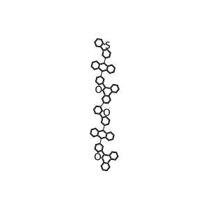 c1ccc2c(c1)sc1ccc(-c3c4ccccc4c(-c4ccc5oc6c7cc(-c8cccc9c8oc8ccc(-c%10c%11ccccc%11c(-c%11ccc%12oc%13c%14ccccc%14c%14ccccc%14c%13c%12c%11)c%11ccccc%10%11)cc89)ccc7c7ccccc7c6c5c4)c4ccccc34)cc12